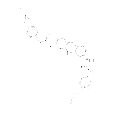 O=C=NCc1ccc(NC(=O)Nc2ccc3cc4ccc(NC(=O)Nc5ccc(CN=C=O)cc5)cc4nc3c2)cc1